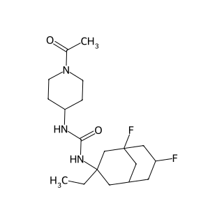 CCC1(NC(=O)NC2CCN(C(C)=O)CC2)CC2CC(F)CC(F)(C2)C1